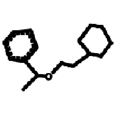 CC(OCCC1CCCCC1)c1ccccc1